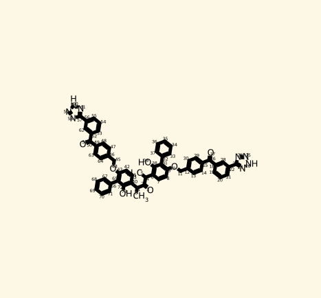 CC(C(=O)C(C)c1ccc(OCc2ccc(C(=O)c3cccc(-c4nn[nH]n4)c3)cc2)c(-c2ccccc2)c1O)c1ccc(OCc2ccc(C(=O)c3cccc(-c4nn[nH]n4)c3)cc2)c(-c2ccccc2)c1O